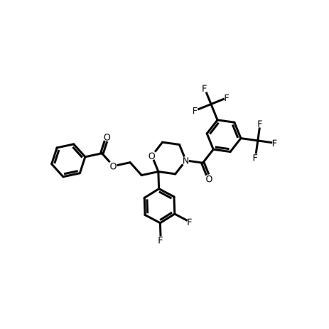 O=C(OCCC1(c2ccc(F)c(F)c2)CN(C(=O)c2cc(C(F)(F)F)cc(C(F)(F)F)c2)CCO1)c1ccccc1